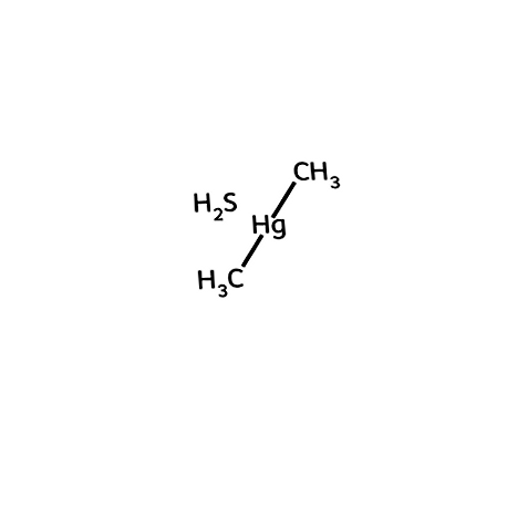 S.[CH3][Hg][CH3]